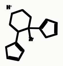 [H-].[Zr][C]1(C2=CC=CC2)CCCCC1C1=CC=CC1